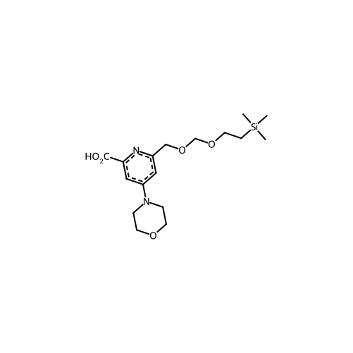 C[Si](C)(C)CCOCOCc1cc(N2CCOCC2)cc(C(=O)O)n1